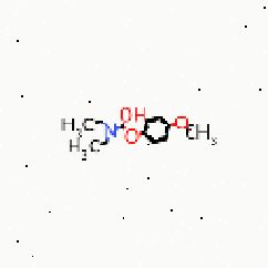 CCN(CC)C(O)Oc1ccc(OC)cc1